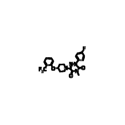 Cn1c(=O)c(N2CCC(Oc3ccccc3C(F)(F)F)CC2)nn(-c2ccc(F)cc2)c1=O